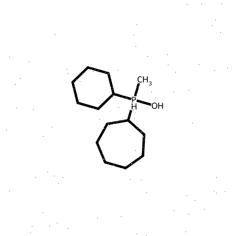 C[PH](O)(C1CCCCCC1)C1CCCCC1